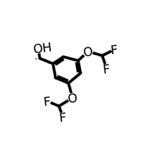 O[CH]c1cc(OC(F)F)cc(OC(F)F)c1